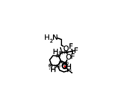 C[C@@H]1CC[C@H]2[C@@H](C)[C@](OCCN)(C(F)(F)F)O[C@@H]3O[C@@]4(C)CC[C@@H]1[C@]32OO4